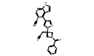 N#CCC1(n2cc(-c3c(C#N)cnc4[nH]ccc34)cn2)CN(C(=O)c2ccccc2)C1